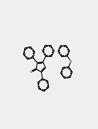 O=C1C(c2ccccc2)=CC(c2ccccc2)=C1c1ccccc1.c1ccc(Oc2ccccc2)cc1